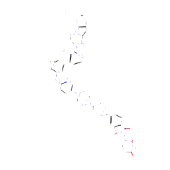 COc1ncc(-c2ccnc(N3CCn4c(cc5c4CC(C)(C)C5)C3=O)c2[C@@H](C)O)cc1Nc1ccc(N2CCN(C3CCN(c4ccc5c(c4)C(=O)N(C4CCC(=O)NC4=O)C5=O)CC3)C[C@@H]2C)cn1